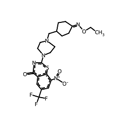 CCON=C1CCC(CN2CCN(c3nc(=O)c4cc(C(F)(F)F)cc([N+](=O)[O-])c4s3)CC2)CC1